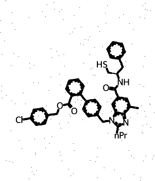 CCCc1nc2c(C)cc(C(=O)N[C@@H](CS)Cc3ccccc3)cc2n1Cc1ccc(-c2ccccc2C(=O)OCc2ccc(Cl)cc2)cc1